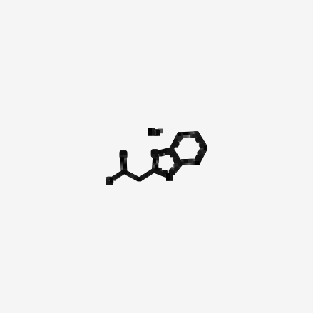 O=C([O-])Cc1nc2ccccc2o1.[Na+]